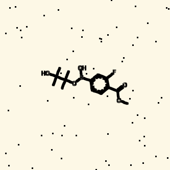 COC(=O)c1ccc(B(O)OC(C)(C)C(C)(C)O)cc1F